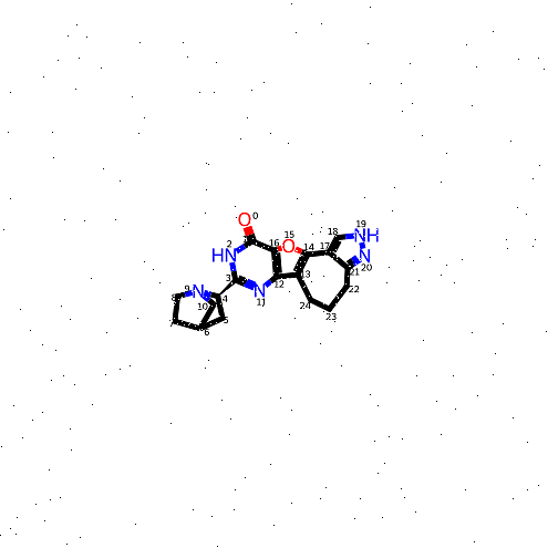 O=c1[nH]c([C@H]2CC3CCN2C3)nc2c3c(oc12)-c1c[nH]nc1CCC3